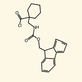 O=C(NCC1(C(=O)Cl)CCCCC1)OCC1c2ccccc2-c2ccccc21